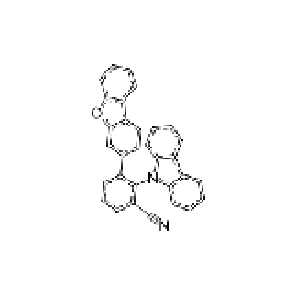 N#Cc1cccc(-c2ccc3c(c2)oc2ccccc23)c1-n1c2ccccc2c2ccccc21